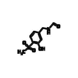 CS(=O)(=O)c1ccc(CNC=O)cc1O